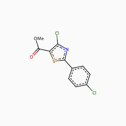 COC(=O)c1sc(-c2ccc(Cl)cc2)nc1Cl